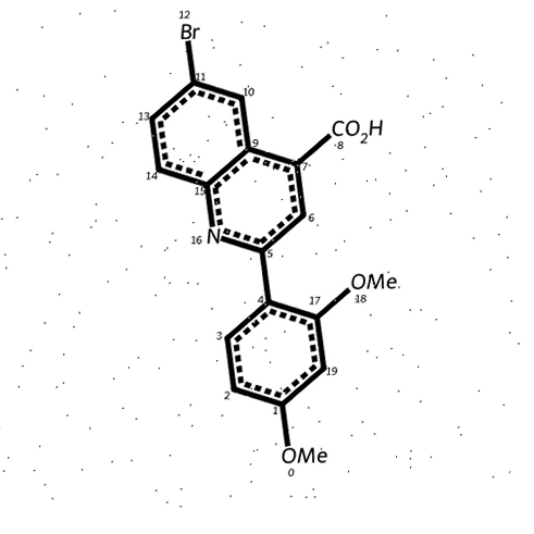 COc1ccc(-c2cc(C(=O)O)c3cc(Br)ccc3n2)c(OC)c1